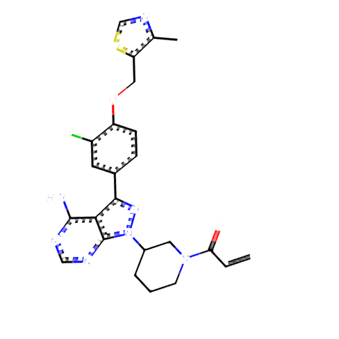 C=CC(=O)N1CCCC(n2nc(-c3ccc(OCc4scnc4C)c(Cl)c3)c3c(N)ncnc32)C1